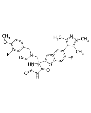 COc1ccc(CN(C=O)C[C@@]2(c3cc4cc(-c5c(C)nn(C)c5C)c(F)cc4o3)NC(=O)NC2=O)cc1F